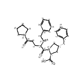 O=C(O)[C@@H]1C[C@@H](Cc2ccncc2)CN1C(=O)[C@@H](CCC(=O)N1CCCC1)NCc1ccccc1